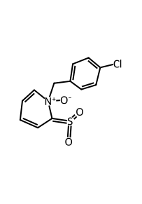 O=S(=O)=C1C=CC=C[N+]1([O-])Cc1ccc(Cl)cc1